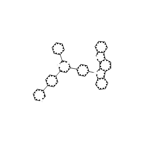 c1ccc(-c2nc(-c3ccc(-c4cccnc4)cc3)cc(-c3ccc(-n4c5ccccc5c5ccc6c7ccccc7oc6c54)cc3)n2)cc1